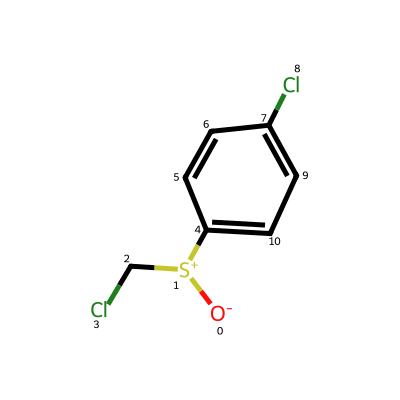 [O-][S+](CCl)c1ccc(Cl)cc1